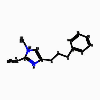 CCCCCc1nc(CCCc2ccccc2)cn1CC